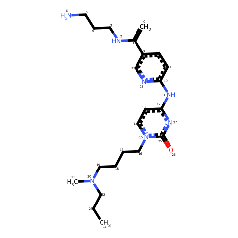 C=C(NCCCN)c1ccc(Nc2ccn(CCCCN(C)CCC)c(=O)n2)nc1